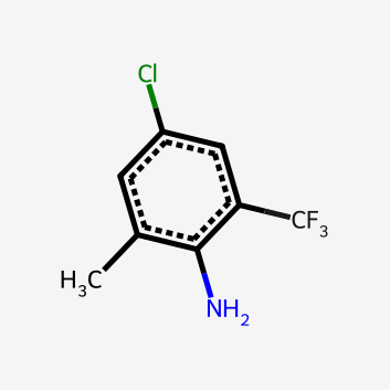 Cc1cc(Cl)cc(C(F)(F)F)c1N